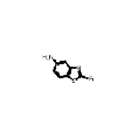 CC(C)c1nc2cc(N)ccc2s1